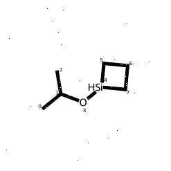 CC(C)O[SiH]1CCC1